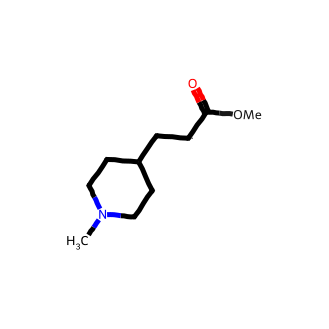 COC(=O)[CH]CC1CCN(C)CC1